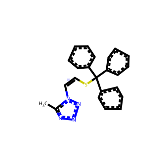 Cc1nnnn1/C=C\SC(c1ccccc1)(c1ccccc1)c1ccccc1